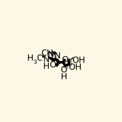 CC(C)Nc1ncnc2c(C3O[C@H](CO)[C@@H](O)[C@H]3O)coc12